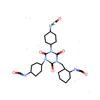 O=C=NC1CCC(n2c(=O)n(CC3CCCCC3N=C=O)c(=O)n(C3CCC(N=C=O)CC3)c2=O)CC1